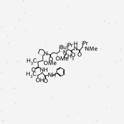 CC[C@H](C)[C@@H]([C@@H](CC(=O)N1CCC[C@H]1[C@H](OC)[C@@H](C)C(=O)N[C@H](C(=O)NCc1ccccc1)[C@@H](C)O)OC)N(C)[C@H](C(=O)NC(=O)[C@@H](NC)C(C)C)C(C)C